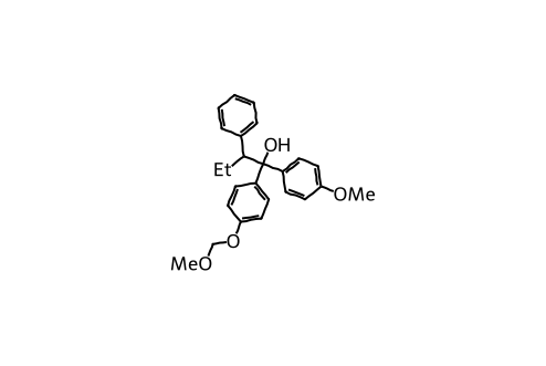 CCC(c1ccccc1)C(O)(c1ccc(OC)cc1)c1ccc(OCOC)cc1